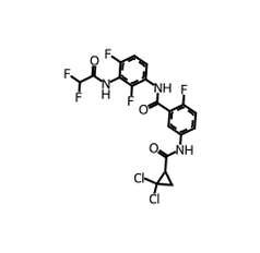 O=C(Nc1ccc(F)c(NC(=O)C(F)F)c1F)c1cc(NC(=O)C2CC2(Cl)Cl)ccc1F